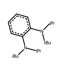 CCC(C)N(c1ccccc1N(C(C)C)C(C)(C)C)C(C)C